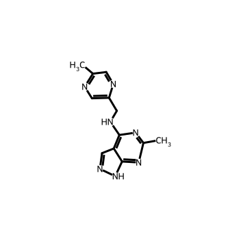 Cc1cnc(CNc2nc(C)nc3[nH]ncc23)cn1